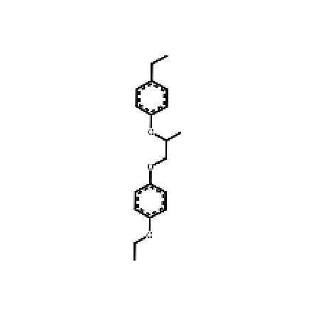 CCOc1ccc(OCC(C)Oc2ccc(CC)cc2)cc1